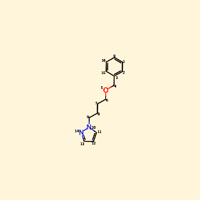 c1ccc(COCCCCn2cccn2)cc1